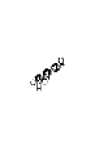 CC(=O)N1CCN(c2ccc(N3CCC(=O)NC3=O)nc2)CC1